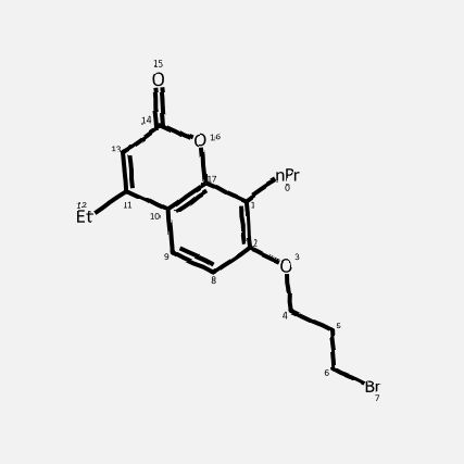 CCCc1c(OCCCBr)ccc2c(CC)cc(=O)oc12